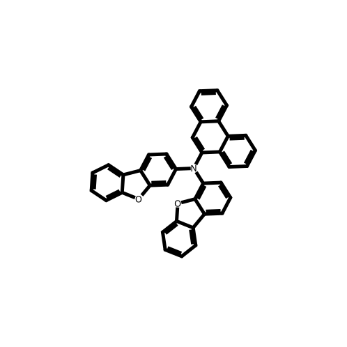 c1ccc2c(c1)cc(N(c1ccc3c(c1)oc1ccccc13)c1cccc3c1oc1ccccc13)c1ccccc12